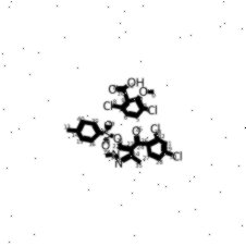 COc1c(Cl)ccc(Cl)c1C(=O)O.Cc1ccc(S(=O)(=O)Oc2c(C(=O)c3ccc(Cl)cc3Cl)c(C)nn2C)cc1